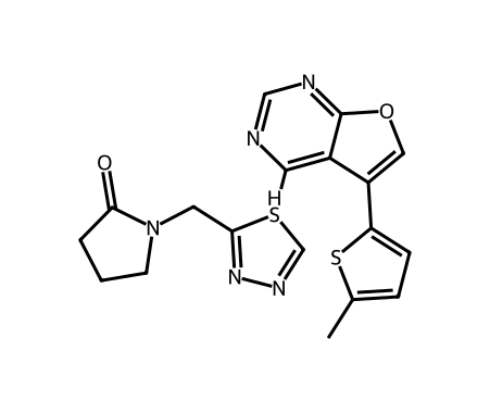 Cc1ccc(-c2coc3ncnc([SH]4C=NN=C4CN4CCCC4=O)c23)s1